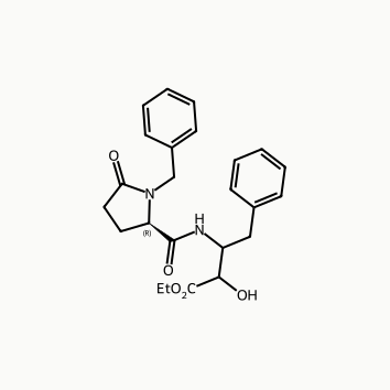 CCOC(=O)C(O)C(Cc1ccccc1)NC(=O)[C@H]1CCC(=O)N1Cc1ccccc1